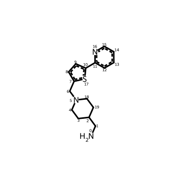 NCC1CCN(Cc2ccc(-c3ccccn3)s2)CC1